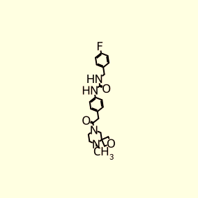 CN1CCN(C(=O)Cc2ccc(NC(=O)NCc3ccc(F)cc3)cc2)CC12COC2